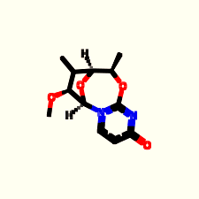 CO[C@H]1C(C)[C@@H]2O[C@H]1n1ccc(=O)nc1O[C@@H]2C